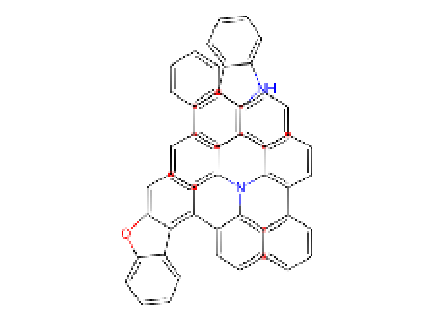 c1ccc(-c2ccccc2-c2ccccc2N(c2ccccc2-c2cccc3oc4ccccc4c23)c2c(-c3ccccc3)cccc2-c2cccc3c2[nH]c2ccccc23)cc1